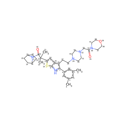 Cc1cc(C)cc(-c2[nH]c3sc(C(C)(C)C(=O)N4C5CCC4CC5)cc3c2CCN2CCN(CC(=O)N3CCOCC3)CC2)c1